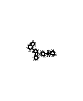 c1ccc2c(-c3ccc4c(c3)c3ccccc3n4-c3ccc(-c4nc5ccccc5o4)cc3)cccc2c1